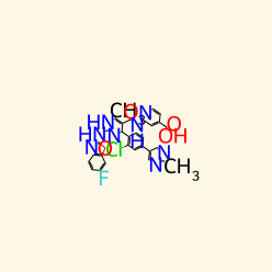 CC1=C(C(=O)Nc2cc(C(=O)O)ccn2)C(c2ccc(-c3cnc(C)nc3)cc2Cl)N=C(Nc2nc3ccc(F)cc3o2)N1